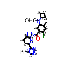 Cc1cc(F)c(C(=O)Nc2cccc(-c3nncn3C(C)C)n2)cc1N(C=O)C1CCC1